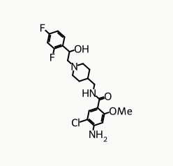 COc1cc(N)c(Cl)cc1C(=O)NCC1CCN(CC(O)c2ccc(F)cc2F)CC1